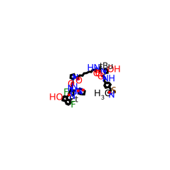 CCc1c(F)ccc2cc(O)cc(-c3ncc4c(N5CC6CCC(C5)N6)nc(OC[C@@H]5CCCN5C(=O)CCCCCCCC(=O)NC(C(=O)N5C[C@H](O)C[C@H]5C(=O)NCc5ccc(-c6scnc6C)cc5)C(C)(C)C)nc4c3F)c12